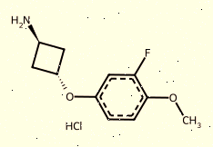 COc1ccc(O[C@H]2C[C@H](N)C2)cc1F.Cl